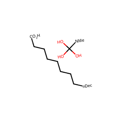 CCCCCCCCCCCCCCCCCC(=O)O.CNC(O)(O)O